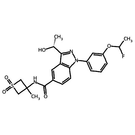 CC(F)Oc1cccc(-n2nc([C@@H](C)O)c3cc(C(=O)NC4(C)CS(=O)(=O)C4)ccc32)c1